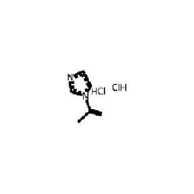 C=C(C)n1ccnc1.Cl.Cl